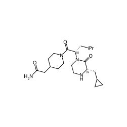 CC(C)C[C@@H](C(=O)N1CCC(CC(N)=O)CC1)N1CCN[C@@H](CC2CC2)C1=O